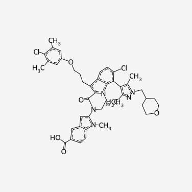 Cc1cc(OCCCc2c3n(c4c(-c5c(C)nn(CC6CCOCC6)c5C)c(Cl)ccc24)[C@H](C)CN(c2cc4cc(C(=O)O)ccc4n2C)C3=O)cc(C)c1Cl